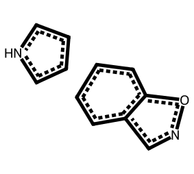 c1cc[nH]c1.c1ccc2oncc2c1